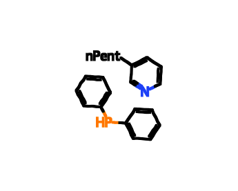 CCCCCc1cccnc1.c1ccc(Pc2ccccc2)cc1